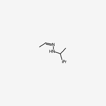 C/C=N\NC(C)C(C)C